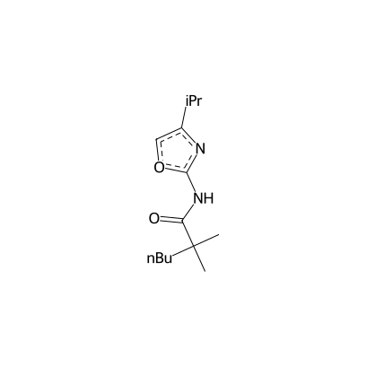 CCCCC(C)(C)C(=O)Nc1nc(C(C)C)co1